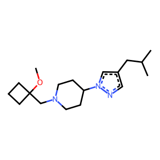 COC1(CN2CCC(n3cc(CC(C)C)cn3)CC2)CCC1